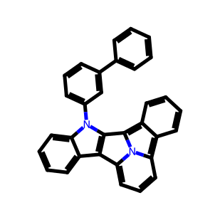 c1ccc(-c2cccc(-n3c4ccccc4c4c3c3c5ccccc5c5cccc4n53)c2)cc1